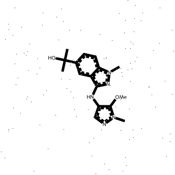 COc1c(Nc2nn(C)c3ccc(C(C)(C)O)cc23)cnn1C